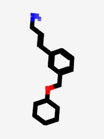 NCC=Cc1cccc(COC2CCCCC2)c1